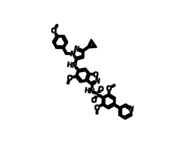 COc1ccc(Cn2nc(C3CC3)cc2Nc2cc3onc(NS(=O)(=O)c4c(OC)cc(-c5cccnc5)cc4OC)c3cc2OC)cc1